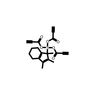 C#CC(=O)[O][Ti]([O]C(=O)C#C)([O]C(=O)C#C)[C]1(C)C(C)=C(C)C2=C1CCCC2